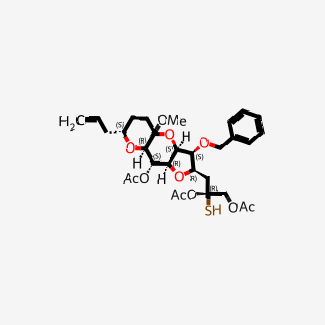 C=CC[C@@H]1CCC2(OC)O[C@@H]3[C@@H](O[C@H](C[C@@](S)(COC(C)=O)OC(C)=O)[C@@H]3OCc3ccccc3)[C@H](OC(C)=O)[C@H]2O1